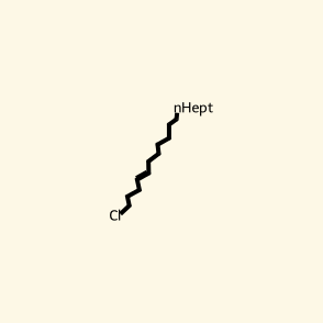 CCCCCCCCCCCCCC=CCCCCl